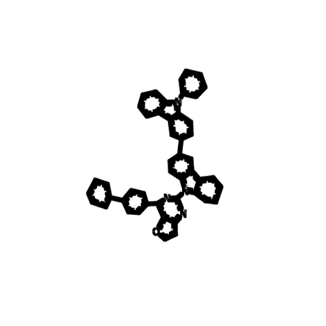 c1ccc(-c2ccc(-c3nc(-n4c5ccccc5c5cc(-c6ccc7c(c6)c6ccccc6n7-c6ccccc6)ccc54)nc4ccoc34)cc2)cc1